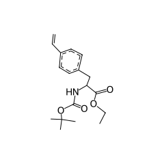 C=Cc1ccc(CC(NC(=O)OC(C)(C)C)C(=O)OCC)cc1